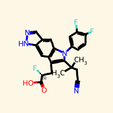 CC(C)(CC#N)c1c(C[C@H](F)C(=O)O)c2cc3[nH]ncc3cc2n1-c1ccc(F)c(F)c1